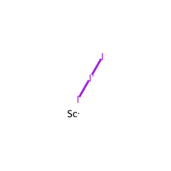 I[I-]I.[Sc]